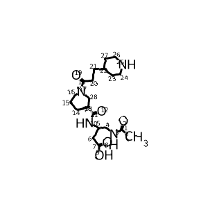 CC(=O)NCC(CC(=O)O)NC(=O)[C@@H]1CCCN(C(=O)CCC2CCNCC2)C1